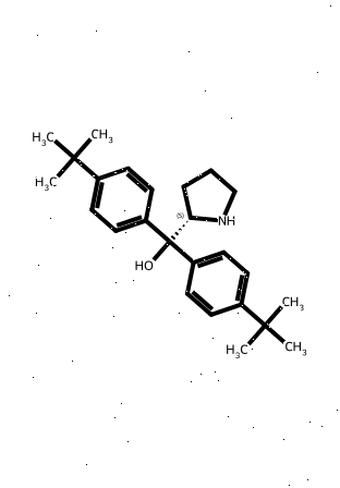 CC(C)(C)c1ccc(C(O)(c2ccc(C(C)(C)C)cc2)[C@@H]2CCCN2)cc1